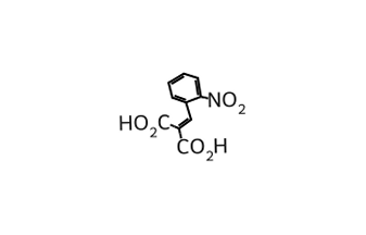 O=C(O)C(=Cc1ccccc1[N+](=O)[O-])C(=O)O